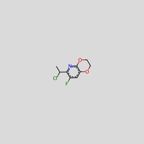 CC(Cl)c1nc2c(cc1F)OCCO2